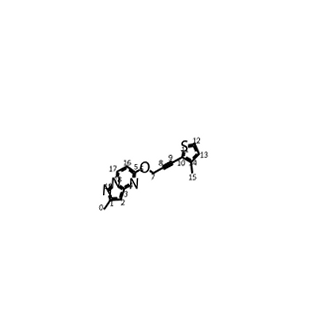 Cc1cc2nc(OCC#Cc3sccc3C)ccn2n1